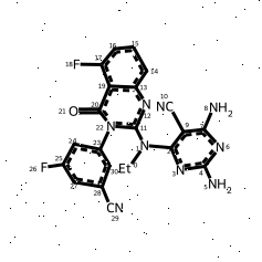 CCN(c1nc(N)nc(N)c1C#N)c1nc2cccc(F)c2c(=O)n1-c1cc(F)cc(C#N)c1